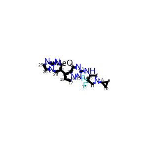 COc1nc(N[C@@H]2CN(C3CC3)CC2(F)F)nn2ccc(-c3cnc4nccn4c3)c12